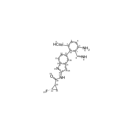 C#Cc1ccc(N)c(C=N)c1-c1ccc2nc(NC(=O)C3C[C@@H]3F)sc2c1